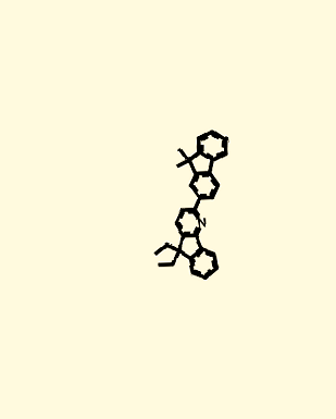 CCC1(CC)c2ccccc2-c2nc(-c3ccc4c(c3)C(C)(C)c3ccccc3-4)ccc21